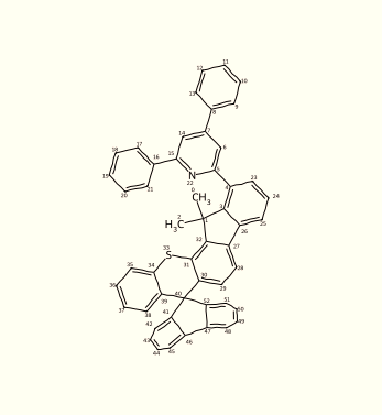 CC1(C)c2c(-c3cc(-c4ccccc4)cc(-c4ccccc4)n3)cccc2-c2ccc3c(c21)Sc1ccccc1C31c2ccccc2-c2ccccc21